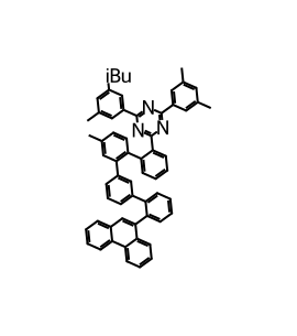 CCC(C)c1cc(C)cc(-c2nc(-c3cc(C)cc(C)c3)nc(-c3ccccc3-c3ccc(C)cc3-c3cccc(-c4ccccc4-c4cc5ccccc5c5ccccc45)c3)n2)c1